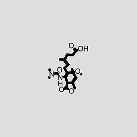 COC1(C)C=C2COC(=O)C2C(NC(=O)N(C)C)=C1C/C=C(\C)CCC(=O)O